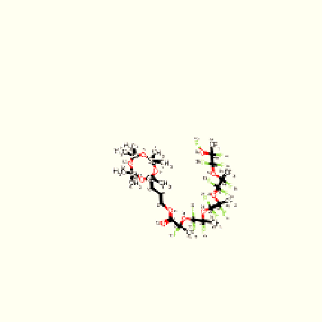 C[Si]1(C)O[Si](C)(C)O[Si](C)(CCCOC(=O)C(F)(OC(F)(F)C(F)(OC(F)(F)C(F)(OC(F)(F)C(F)(OC(F)(F)C(F)(OF)C(F)(F)F)C(F)(F)F)C(F)(F)F)C(F)(F)F)C(F)(F)F)O[Si](C)(C)O1